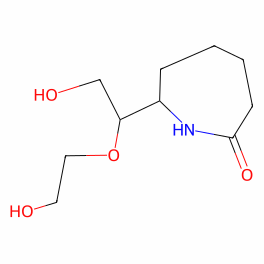 O=C1CCCCC(C(CO)OCCO)N1